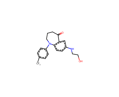 O=C1CCCN(c2ccc(C(F)(F)F)cc2)c2ccc(NCCO)cc21